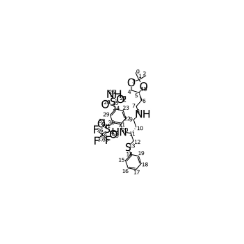 CC1(C)OC[C@H](CCNCC[C@H](CSc2ccccc2)Nc2ccc(S(N)(=O)=O)cc2S(=O)(=O)C(F)(F)F)O1